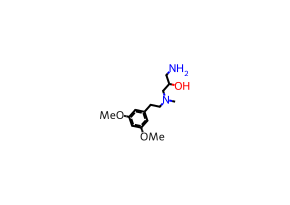 COc1cc(CCN(C)CC(O)CN)cc(OC)c1